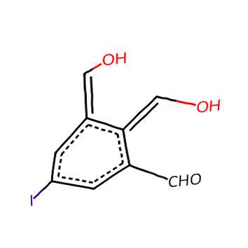 O=Cc1cc(I)cc(=CO)c1=CO